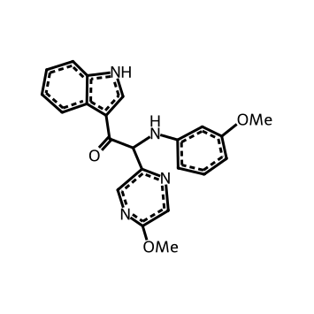 COc1cccc(NC(C(=O)c2c[nH]c3ccccc23)c2cnc(OC)cn2)c1